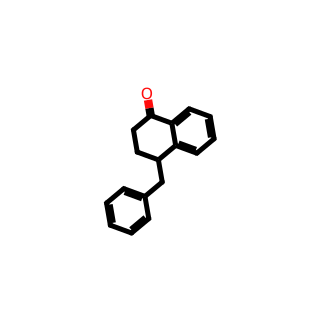 O=C1CCC(Cc2ccccc2)c2ccccc21